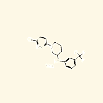 Cl.FC(F)(F)c1cccc(NC2CCCN(c3ccc(Cl)nn3)C2)c1